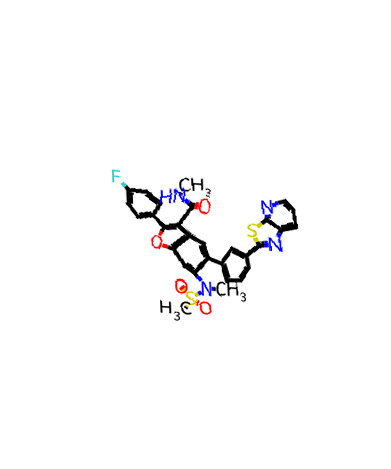 CNC(=O)c1c(-c2ccc(F)cc2)oc2cc(N(C)S(C)(=O)=O)c(-c3cccc(-c4nc5cccnc5s4)c3)cc12